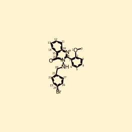 COc1ccccc1-c1nc2ccccc2c(=O)n1NCc1ccc(Br)cc1